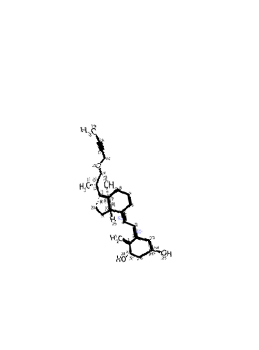 C=C1/C(=C\C=C2/CCC[C@]3(C)[C@@H]([C@H](C)COCC#CC)CC[C@@H]23)C[C@@H](O)C[C@@H]1O